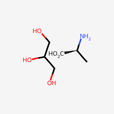 C[C@H](N)C(=O)O.OCC(O)CO